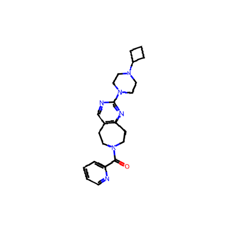 O=C(c1ccccn1)N1CCc2cnc(N3CCN(C4CCC4)CC3)nc2CC1